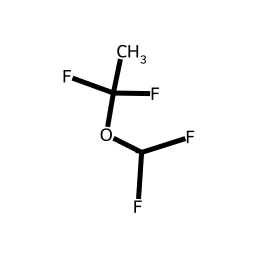 CC(F)(F)O[C](F)F